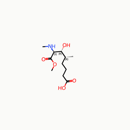 CN[C@H](C(=O)OC)[C@H](O)[C@H](C)CCCC(=O)O